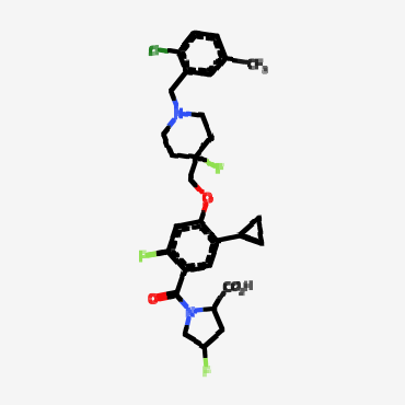 O=C(O)C1CC(F)CN1C(=O)c1cc(C2CC2)c(OCC2(F)CCN(Cc3cc(C(F)(F)F)ccc3Cl)CC2)cc1F